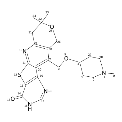 CN1CCC(OCc2c3c(nc4sc5c(=O)[nH]cnc5c24)CC(C)(C)OC3)CC1